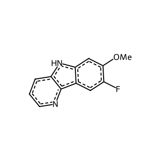 COc1cc2[nH]c3cccnc3c2cc1F